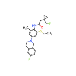 CCSc1cc(N2CCc3cc(F)ccc3C2)cc(C)c1NC(=O)CC1(CF)CC1